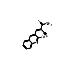 N#CC(=Cc1cc2ccccc2nc1O)C(N)=S